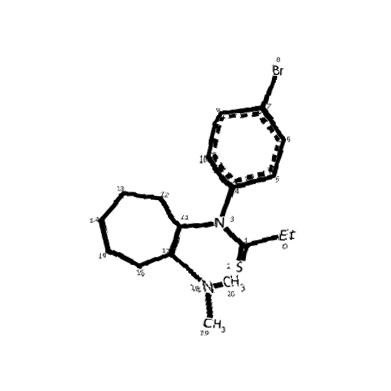 CCC(=S)N(c1ccc(Br)cc1)C1CCCCCC1N(C)C